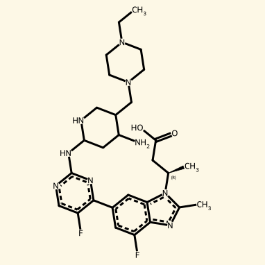 CCN1CCN(CC2CNC(Nc3ncc(F)c(-c4cc(F)c5nc(C)n([C@H](C)CC(=O)O)c5c4)n3)CC2N)CC1